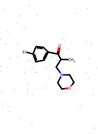 CCc1ccc(C(=O)C(C)CN2CCOCC2)cc1